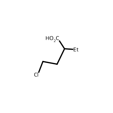 CCC(CCCl)C(=O)O